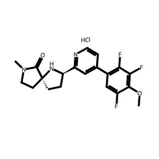 COc1c(F)cc(-c2ccnc([C@H]3CC[C@@]4(CCN(C)C4=O)N3)c2)c(F)c1F.Cl